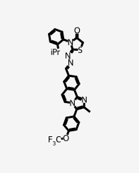 Cc1nc2c3ccc(/C=N/N=C4\SCC(=O)N4c4ccccc4C(C)C)cc3ccn2c1-c1ccc(OC(F)(F)F)cc1